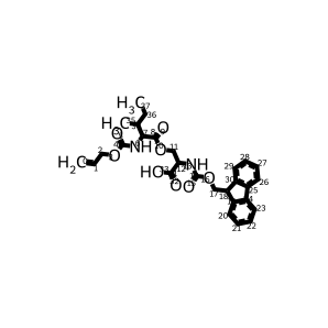 C=CCOC(=O)NC(C(=O)OCC(NC(=O)OCC1c2ccccc2-c2ccccc21)C(=O)O)C(C)CC